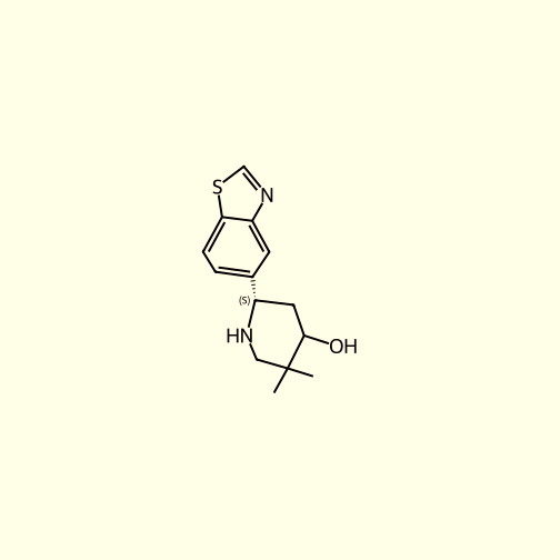 CC1(C)CN[C@H](c2ccc3scnc3c2)CC1O